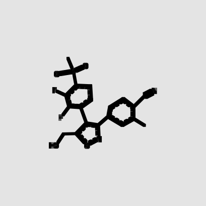 Cc1cc(-c2noc(CO)c2-c2ccc(S(C)(=O)=O)c(F)c2F)ccc1C#N